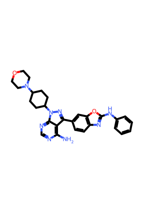 Nc1ncnc2c1c(-c1ccc3nc(Nc4ccccc4)oc3c1)nn2C1CCC(N2CCOCC2)CC1